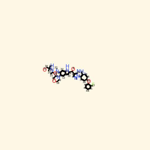 CC1=C(n2ncc(C(=O)c3cc4cc(N5CCOCC5)c(N(C)OC(C)NC(C)(C)C=O)cc4[nH]3)c2N)C=CC(Oc2ccccc2F)C=C1